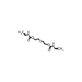 C=CNC(=O)OCCOCCOC(=O)NC=C